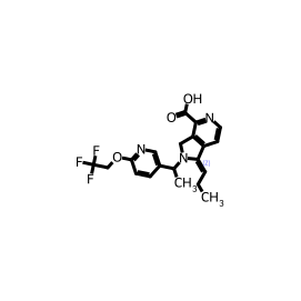 CC/C=C1/c2ccnc(C(=O)O)c2CN1C(C)c1ccc(OCC(F)(F)F)nc1